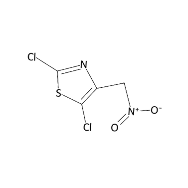 O=[N+]([O-])Cc1nc(Cl)sc1Cl